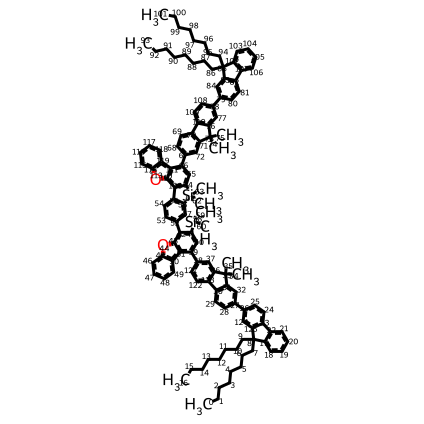 CCCCCCCCC1(CCCCCCCC)c2ccccc2-c2ccc(-c3ccc4c(c3)C(C)(C)c3cc(-c5cc6c(c7oc8ccccc8c57)-c5ccc7c(c5[Si]6(C)C)[Si](C)(C)c5cc(-c6ccc8c(c6)C(C)(C)c6cc(-c9ccc%10c(c9)C(CCCCCCCC)(CCCCCCCC)c9ccccc9-%10)ccc6-8)c6c(oc8ccccc86)c5-7)ccc3-4)cc21